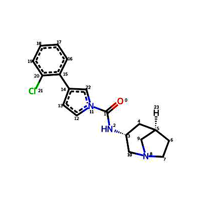 O=C(N[C@@H]1C[C@H]2CCN(C2)C1)n1ccc(-c2ccccc2Cl)c1